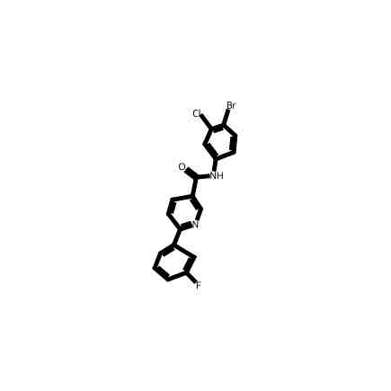 O=C(Nc1ccc(Br)c(Cl)c1)c1ccc(-c2cccc(F)c2)nc1